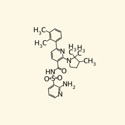 Cc1cccc(-c2ccc(C(=O)NS(=O)(=O)c3cccnc3N)c(N3CCC(C)C3(C)C)n2)c1C